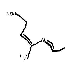 C/C=N/C(N)=C\CCCCC